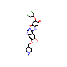 COc1cc2c(NC3=CC(=O)C(OC(CF)CF)=CC3=O)ncnc2cc1OCC1CCN(C)CC1